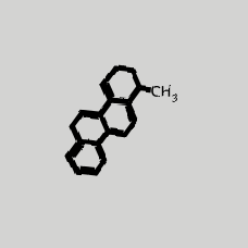 CC1CCC=c2c1ccc1c2=CCc2ccccc2-1